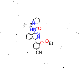 CCOCOc1cc(C#N)ccc1-c1nnc(NC(=O)C2CCCCN2C)c2ccccc12